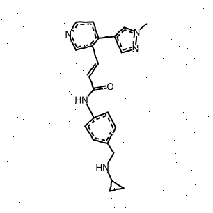 Cn1cc(-c2ccncc2C=CC(=O)Nc2ccc(CNC3CC3)cc2)cn1